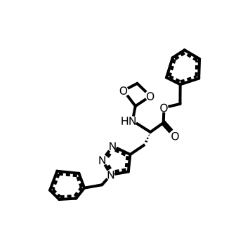 O=C(OCc1ccccc1)[C@H](Cc1cn(Cc2ccccc2)nn1)NC1OCO1